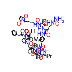 CC[C@H](C)[C@@H]([C@@H](CC(=O)N1CCC[C@H]1[C@H](OC)[C@@H](C)C(=O)N[C@@H](Cc1ccccc1)C(=O)O)OC)N(C)C(=O)[C@@H](NC(=O)[C@H](C(C)C)N(C)C(=O)OCc1ccc(NC(=O)[C@H](CCCNC(N)=O)NC(=O)C(NC(=O)CCCCCN2C(=O)C=CC2=O)C(C)C)cc1)C(C)C